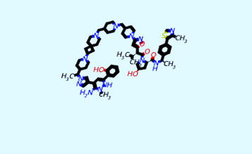 Cc1ncsc1-c1ccc([C@H](C)NC(=O)[C@@H]2C[C@@H](O)CN2C(=O)[C@@H](c2cc(N3CCC(CN4CCC(CN5CCC6(CC5)CC(N5CCC(C(C)n7cc(C8=C(N)N(C)NC(c9ccccc9O)=C8)cn7)CC5)C6)CC4)CC3)no2)C(C)C)cc1